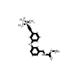 CC(C)(C)OC(=O)NCc1cccc(Oc2cccc(C#C[Si](C)(C)C)c2)c1